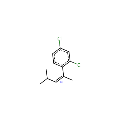 C/C(=C/C(C)C)c1ccc(Cl)cc1Cl